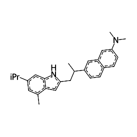 Cc1cc(C(C)C)cc2[nH]c(CC(C)c3ccc4ccc(N(C)C)cc4c3)cc12